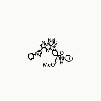 COCCO[C@]1(C(=O)NN2CCOCC2)CC[C@H](c2nc3c(-c4cnn(-c5ccccc5)c4)cnn3c(N)c2S(C)(=O)=O)CC1